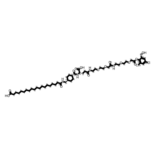 O=C(O)CCCCCCCCCCCCCCCCCCC(=O)NC[C@H]1CC[C@H](C(=O)N[C@@H](CCC(=O)NCCOCCOCC(=O)NCCOCCOCC(=O)Oc2c(Cl)cc(Cl)cc2SO)C(=O)O)CC1